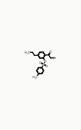 CCCc1ccc(C(=O)CBr)c(OS(=O)(=O)c2ccc(C)cc2)c1